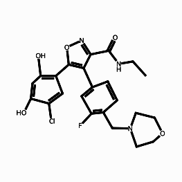 CCNC(=O)c1noc(-c2cc(Cl)c(O)cc2O)c1-c1ccc(CN2CCOCC2)c(F)c1